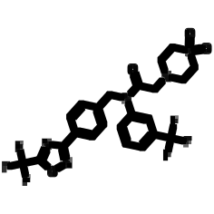 O=C(CN1CCS(=O)(=O)CC1)N(Cc1ccc(-c2noc(C(F)(F)F)n2)cc1)c1cccc(C(F)(F)F)c1